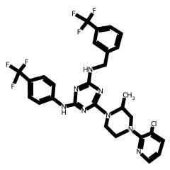 CC1CN(c2ncccc2Cl)CCN1c1nc(NCc2cccc(C(F)(F)F)c2)nc(Nc2ccc(C(F)(F)F)cc2)n1